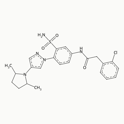 CC1CCC(C)N1c1cnn(-c2ccc(NC(=O)Cc3ccccc3Cl)cc2S(N)(=O)=O)c1